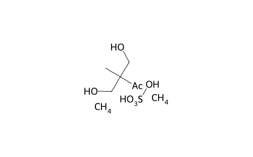 C.C.CC(=O)C(C)(CO)CO.O=S(=O)(O)O